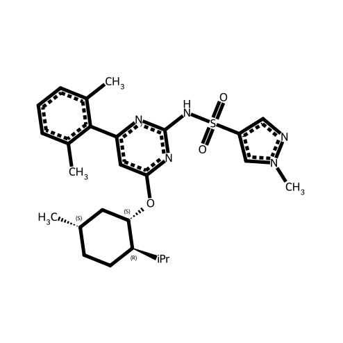 Cc1cccc(C)c1-c1cc(O[C@H]2C[C@@H](C)CC[C@@H]2C(C)C)nc(NS(=O)(=O)c2cnn(C)c2)n1